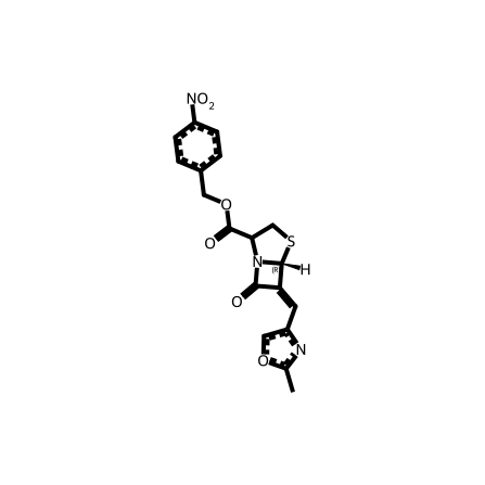 Cc1nc(C=C2C(=O)N3C(C(=O)OCc4ccc([N+](=O)[O-])cc4)CS[C@H]23)co1